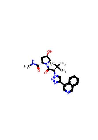 CNC(=O)[C@@H]1C[C@@H](O)CN1C(=O)[C@@H](n1cc(-c2cncc3ccccc23)nn1)C(C)(C)C